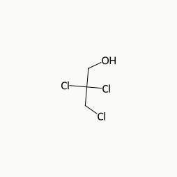 OCC(Cl)(Cl)CCl